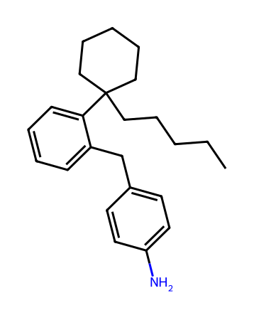 CCCCCC1(c2ccccc2Cc2ccc(N)cc2)CCCCC1